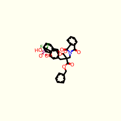 O=C1c2ccccc2C(=O)N1CC(Cc1ccc(C(F)(F)P(=O)(O)O)cc1)(C(=O)OCc1ccccc1)C(=O)OCc1ccccc1